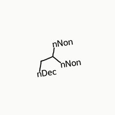 CCCCCCCCCCCC(CCCCCCCCC)CCCCCCCCC